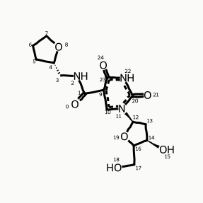 O=C(NC[C@@H]1CCCO1)c1cn([C@H]2C[C@@H](O)C(CO)O2)c(=O)[nH]c1=O